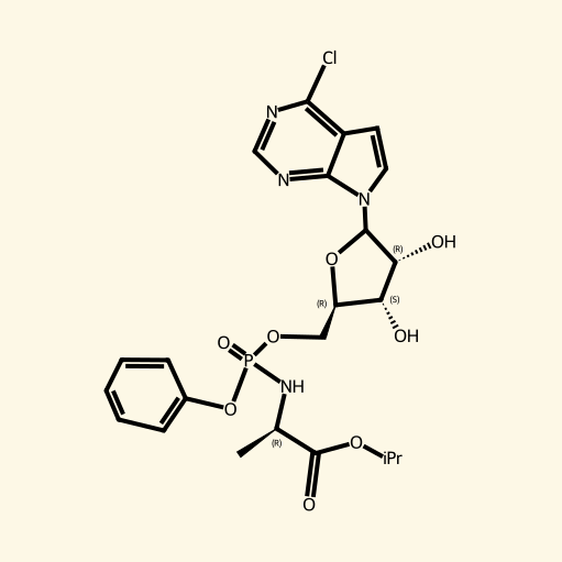 CC(C)OC(=O)[C@@H](C)NP(=O)(OC[C@H]1OC(n2ccc3c(Cl)ncnc32)[C@H](O)[C@@H]1O)Oc1ccccc1